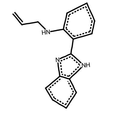 C=CCNc1ccccc1-c1nc2ccccc2[nH]1